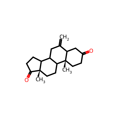 C=C1CC2C(CC[C@]3(C)C(=O)CCC23)[C@@]2(C)CCC(=O)CC12